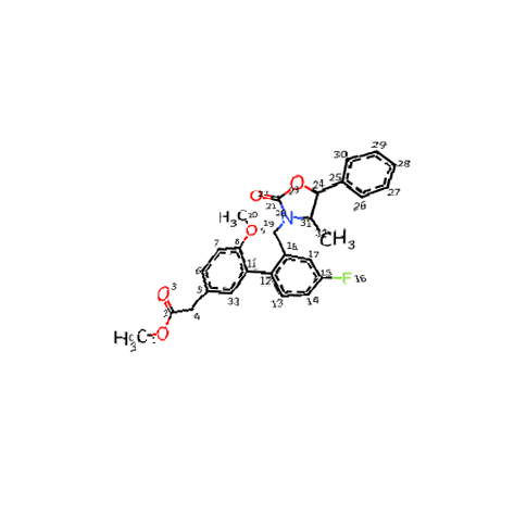 COC(=O)Cc1ccc(OC)c(-c2ccc(F)cc2CN2C(=O)OC(c3ccccc3)C2C)c1